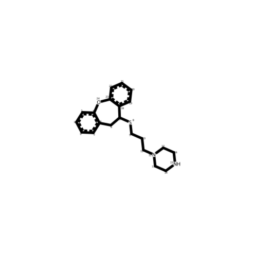 c1ccc2c(c1)CC(SCCCN1CCNCC1)c1ccccc1O2